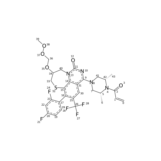 C=CC(=O)N1[C@H](C)CN(c2nc(=O)n3c4c(c(-c5ccc(F)cc5F)c(C(F)(F)F)cc24)SCC(OCOOC)C3)C[C@@H]1C